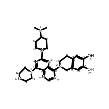 CN(C)C1CCN(c2nc(N3CCOCC3)c3ncnc(N4CCc5cc(O)c(O)cc5C4)c3n2)CC1